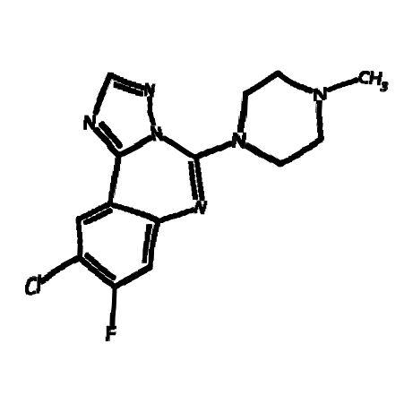 CN1CCN(c2nc3cc(F)c(Cl)cc3c3ncnn23)CC1